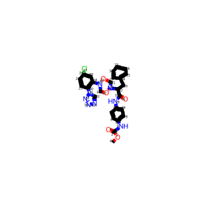 COC(=O)Nc1ccc(NC(=O)C(Cc2ccccc2)N2CON(c3cc(Cl)ccc3-n3cnnn3)CO2)cc1